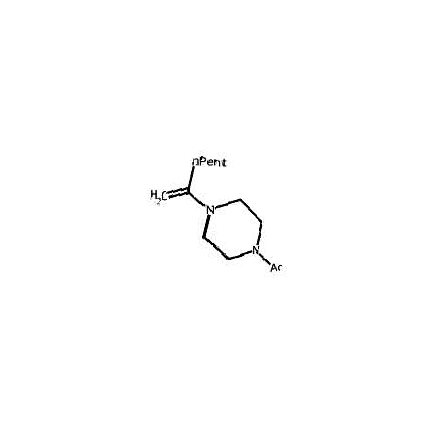 C=C(CCCCC)N1CCN(C(C)=O)CC1